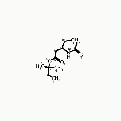 CCC(C)(C)OC(=O)CC(CO)NC(=O)I